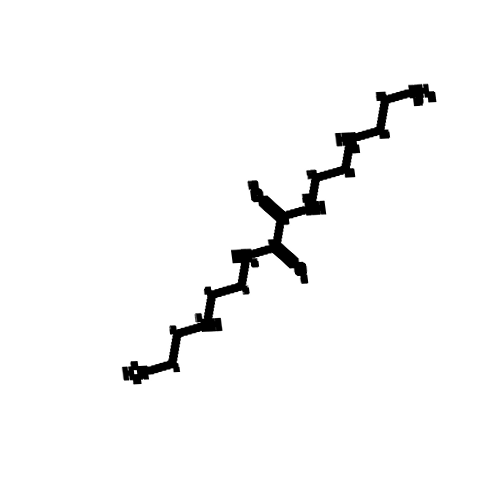 NCCNCCNC(=O)C(=O)NCCNCCN